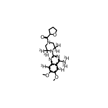 [2H]c1c(OC)c(OC)c([2H])c2c(N([2H])[2H])nc(N3C([2H])([2H])CN(C(=O)C4CCCO4)CC3([2H])[2H])nc12